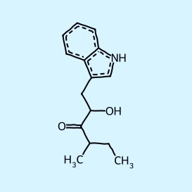 CCC(C)C(=O)C(O)Cc1c[nH]c2ccccc12